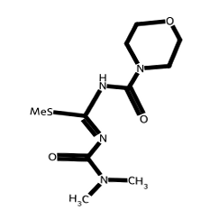 CSC(=NC(=O)N(C)C)NC(=O)N1CCOCC1